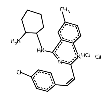 Cc1ccc2nc(/C=C\c3ccc(Cl)cc3)nc(NC3CCCCC3N)c2c1.Cl.Cl